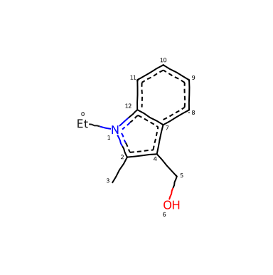 CCn1c(C)c(CO)c2[c]cccc21